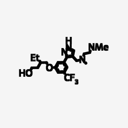 CCC(CCO)COc1cc(-c2n[nH]cc2CN(C)CCNC)cc(C(F)(F)F)c1